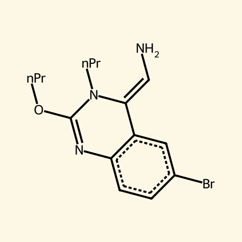 CCCOC1=Nc2ccc(Br)cc2C(=CN)N1CCC